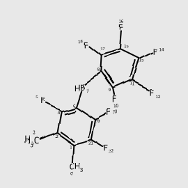 Cc1c(C)c(F)c(Bc2c(F)c(F)c(F)c(F)c2F)c(F)c1F